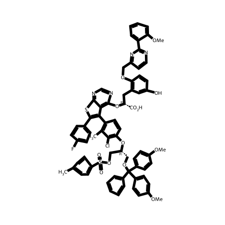 COc1ccc(C(OC[C@H](COS(=O)(=O)c2ccc(C)cc2)Oc2ccc(-c3c(-c4ccc(F)cc4)sc4ncnc(O[C@H](Cc5cc(O)ccc5OCc5ccnc(-c6ccccc6OC)n5)C(=O)O)c34)c(C)c2Cl)(c2ccccc2)c2ccc(OC)cc2)cc1